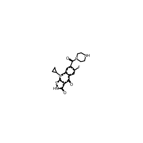 O=C(c1cc2c(cc1F)c(=O)c1c(=O)[nH]sc1n2C1CC1)N1CCNCC1